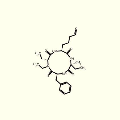 CC[C@@H]1C(=O)N[C@@H](CCCC=O)C(=O)N[C@@](C)(CC)C(=O)N[C@@H](Cc2ccccc2)C(=O)N1CC